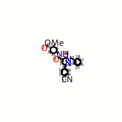 COC(=O)[C@H]1CC[C@H](NC(=O)c2cc(-c3ccc(C#N)cc3)nn(Cc3ccccc3)c2=O)CC1